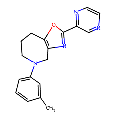 Cc1cccc(N2CCCc3oc(-c4cnccn4)nc3C2)c1